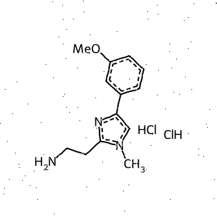 COc1cccc(-c2cn(C)c(CCN)n2)c1.Cl.Cl